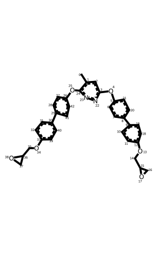 Cc1cc(Oc2ccc(-c3ccc(OCC4CO4)cc3)cc2)nnc1Oc1ccc(-c2ccc(OCC3CO3)cc2)cc1